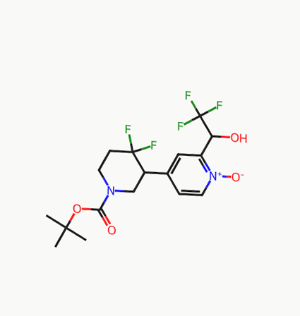 CC(C)(C)OC(=O)N1CCC(F)(F)C(c2cc[n+]([O-])c(C(O)C(F)(F)F)c2)C1